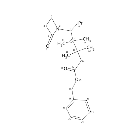 CC(C)C(N1CCC1=O)[Si](C)(C)C(C)(C)CC(=O)OCc1ccccc1